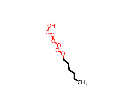 CCCCCCOOOOOOO